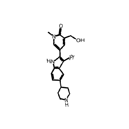 CC(C)c1c(-c2cc(CO)c(=O)n(C)c2)[nH]c2ccc(C3CCNCC3)cc12